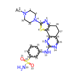 CC(=O)N1CCN(c2nc3c(s2)-c2nc(Nc4cccc(S(N)(=O)=O)c4)ncc2CC3)CC1